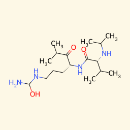 CC(C)N[C@@H](C(=O)N[C@H](CCCNC(N)O)C(=O)C(C)C)C(C)C